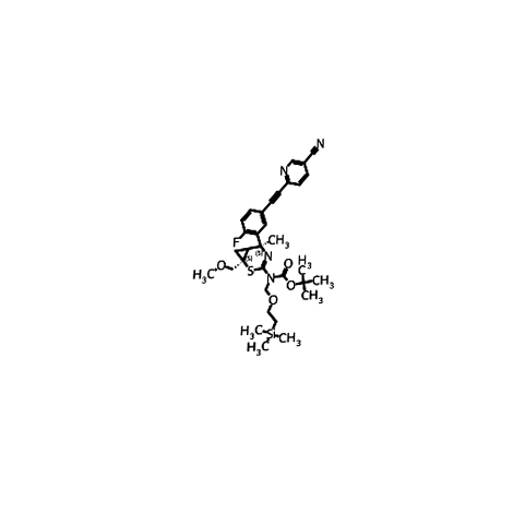 COC[C@]12CC1[C@@](C)(c1cc(C#Cc3ccc(C#N)cn3)ccc1F)N=C(N(COCC[Si](C)(C)C)C(=O)OC(C)(C)C)S2